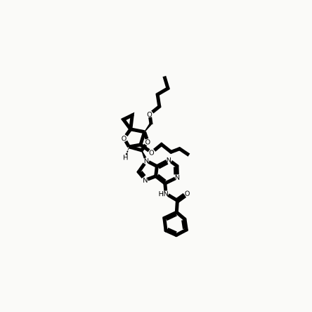 CCCCOC[C@]12O[C@@H](n3cnc4c(NC(=O)c5ccccc5)ncnc43)[C@@H](OC13CC3)C2OCCCC